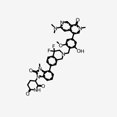 COc1cc(-c2cn(C)c(=O)c3cnc(N(C)C)cc23)cc(O)c1CN1Cc2cc(-c3cccc4c3n(C)c(=O)n4C3CCC(=O)NC3=O)ccc2C(F)(F)C1